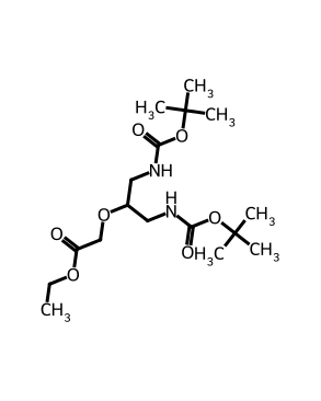 CCOC(=O)COC(CNC(=O)OC(C)(C)C)CNC(=O)OC(C)(C)C